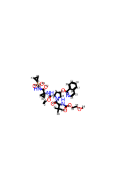 C=C[C@@H]1C[C@]1(NC(=O)[C@@H]1C[C@@H](Oc2nccc3ccccc23)CN1C(=O)[C@@H](NC(=O)OCCOC)C(C)(C)C)C(=O)NS(=O)(=O)C1CC1